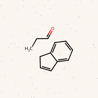 C1=Cc2ccccc2C1.CCC=O